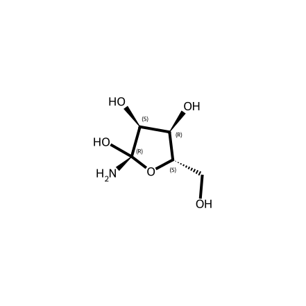 N[C@]1(O)O[C@@H](CO)[C@H](O)[C@@H]1O